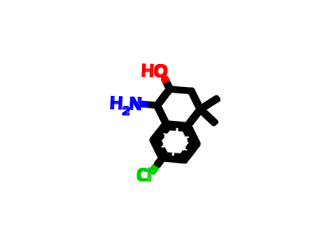 CC1(C)CC(O)C(N)c2cc(Cl)ccc21